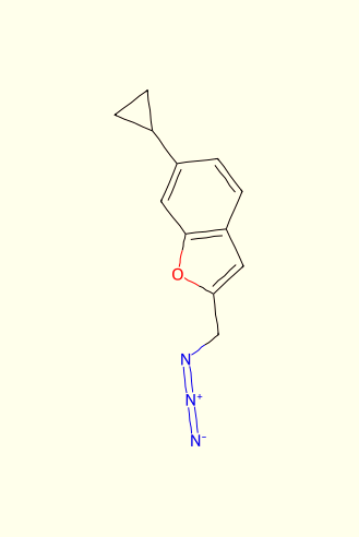 [N-]=[N+]=NCc1cc2ccc(C3CC3)cc2o1